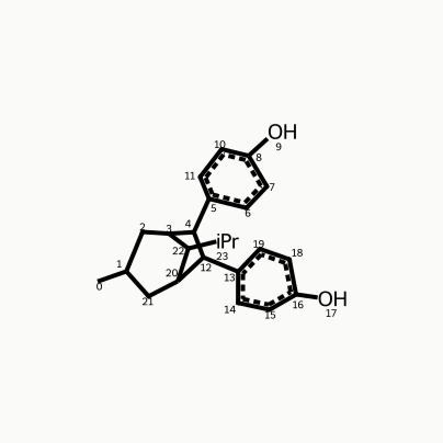 CC1CC2C(c3ccc(O)cc3)C(c3ccc(O)cc3)C(C1)C2C(C)C